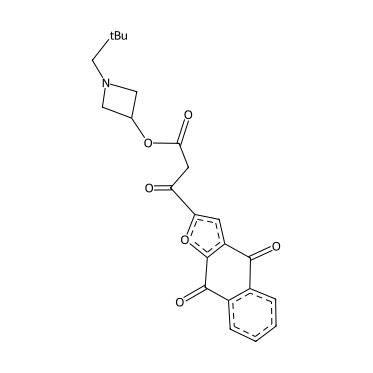 CC(C)(C)CN1CC(OC(=O)CC(=O)c2cc3c(o2)C(=O)c2ccccc2C3=O)C1